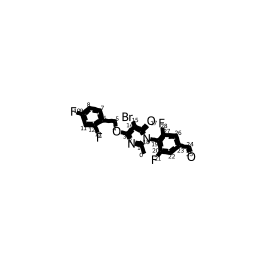 Cc1nc(OCc2ccc(F)cc2F)c(Br)c(=O)n1-c1c(F)cc(C=O)cc1F